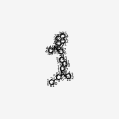 c1ccc(-c2ccc(N(c3ccccc3)c3ccc4c(ccc5cc(-c6ccc7c8c9ccc%10cccc%11ccc(cc8n(-c8ccccc8)c7c6)c9c%11%10)ccc54)c3)cc2)cc1